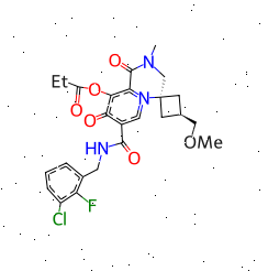 CCC(=O)Oc1c2n(cc(C(=O)NCc3cccc(Cl)c3F)c1=O)[C@]1(CN(C)C2=O)C[C@H](COC)C1